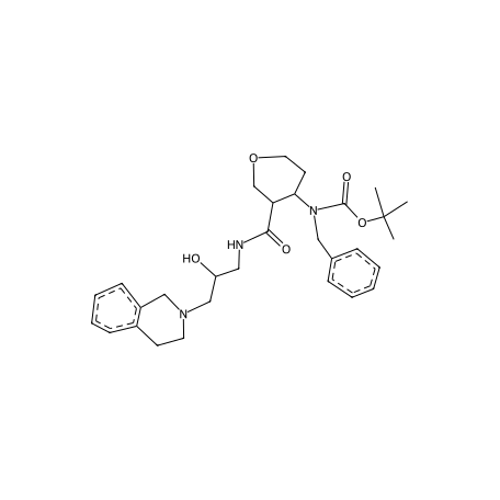 CC(C)(C)OC(=O)N(Cc1ccccc1)C1CCOCC1C(=O)NCC(O)CN1CCc2ccccc2C1